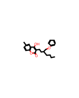 CCCCC(CCc1c(O)c2cc(C)ccc2oc1=O)COc1ccccc1